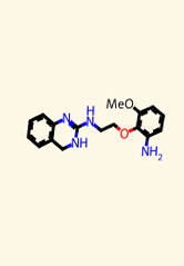 COc1cccc(N)c1OCCNC1=Nc2ccccc2CN1